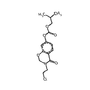 CC(C)COC(=O)Oc1ccc2c(c1)OCN(CCCl)C2=O